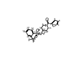 O=C(c1ccco1)N1CCC(NS(=O)(=O)c2ccccc2C(F)(F)F)CC1